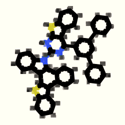 c1ccc(-c2cc(-c3ccccc3)cc(-c3nc(-n4c5ccccc5c5c6sc7ccccc7c6c6ccccc6c54)nc4sc5ccccc5c34)c2)cc1